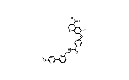 COc1ccc(-c2cccc(CCNC(=O)c3ccc(Oc4cc5c(cc4Cl)C(C(=O)O)CCO5)cc3)n2)cc1